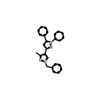 Cc1nn(Cc2ccccc2)[c]c1-c1cc(-c2ccccc2)n(-c2ccccc2)n1